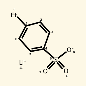 CCc1ccc(S(=O)(=O)[O-])cc1.[Li+]